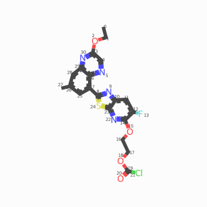 CCOc1cnc2c(-c3nc4cc(F)c(OCCOC(=O)Cl)nc4s3)cc(C)cc2n1